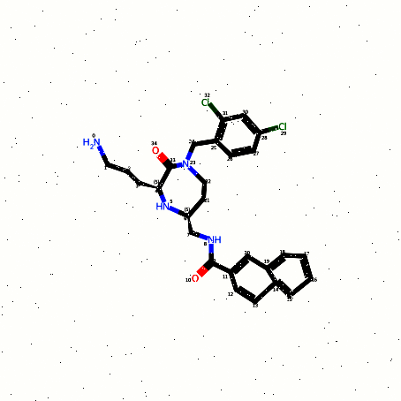 NCCC[C@@H]1N[C@H](CNC(=O)c2ccc3ccccc3c2)CCN(Cc2ccc(Cl)cc2Cl)C1=O